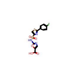 O=C(O)c1cnc(NS(=O)(=O)c2csc(-c3ccc(F)cc3)n2)o1